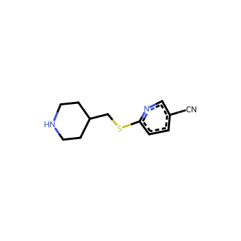 N#Cc1ccc(SCC2CCNCC2)nc1